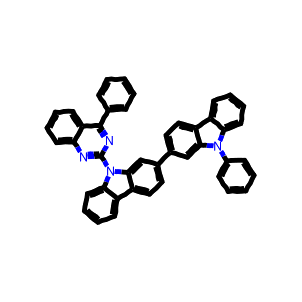 c1ccc(-c2nc(-n3c4ccccc4c4ccc(-c5ccc6c7ccccc7n(-c7ccccc7)c6c5)cc43)nc3ccccc23)cc1